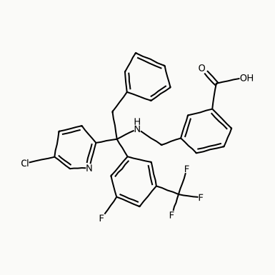 O=C(O)c1cccc(CNC(Cc2ccccc2)(c2cc(F)cc(C(F)(F)F)c2)c2ccc(Cl)cn2)c1